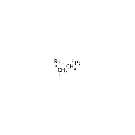 C.C.[Pt].[Ru]